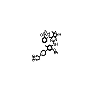 Cc1cc(Nc2nc(Nc3ccccc3S(=O)(=O)C(C)C)c3c(C)n[nH]c3n2)c(OC(C)C)cc1C1CCN([C@@H]2CCS(=O)(=O)C2)CC1